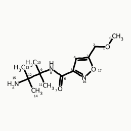 COCc1cc(C(=O)NC(C)(C)C(C)(C)N)no1